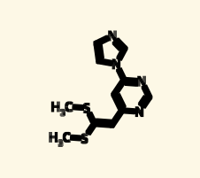 CSC(=Cc1cc(-n2ccnc2)ncn1)SC